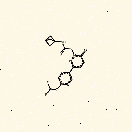 O=C(Cn1nc(-c2ccc(OC(F)F)nc2)ccc1=O)NC12CC(C1)C2